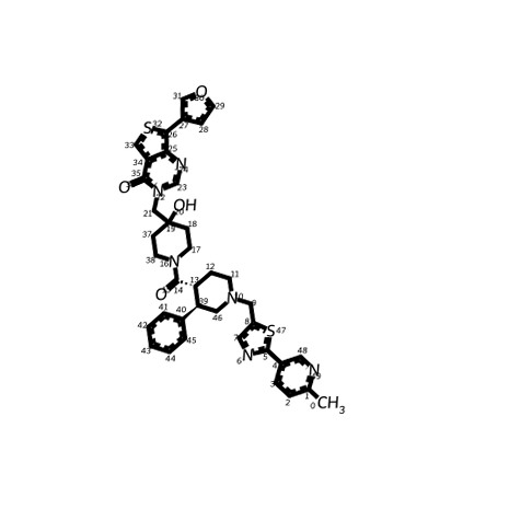 Cc1ccc(-c2ncc(CN3CC[C@@H](C(=O)N4CCC(O)(Cn5cnc6c(-c7ccoc7)scc6c5=O)CC4)[C@H](c4ccccc4)C3)s2)cn1